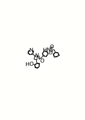 O=C(c1ccc(NS(=O)(=O)Cc2ccccc2)cc1)N1N=C(c2cccnc2)CC1c1ccccc1O